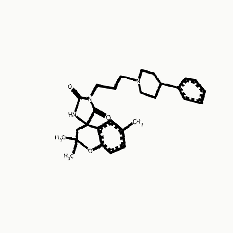 Cc1ccc2c(c1)C1(CC(C)(C)O2)NC(=O)N(CCCN2CCC(c3ccccc3)CC2)C1=O